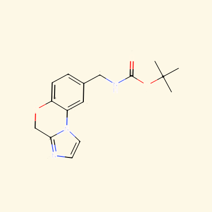 CC(C)(C)OC(=O)NCc1ccc2c(c1)-n1ccnc1CO2